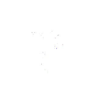 COc1ccc(C2c3[nH]c4ccc(Cl)cc4c3CCN2C(=O)Oc2ccccc2Cl)cc1